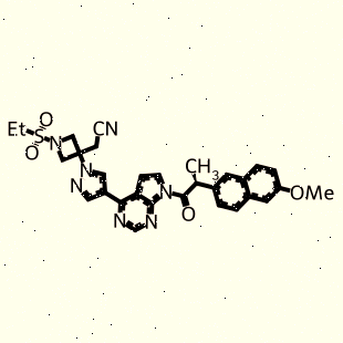 CCS(=O)(=O)N1CC(CC#N)(n2cc(-c3ncnc4c3ccn4C(=O)[C@@H](C)c3ccc4cc(OC)ccc4c3)cn2)C1